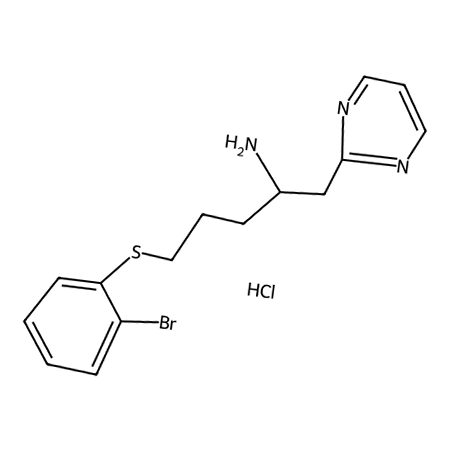 Cl.NC(CCCSc1ccccc1Br)Cc1ncccn1